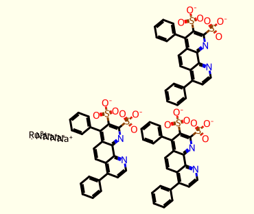 O=S(=O)([O-])c1nc2c(ccc3c(-c4ccccc4)ccnc32)c(-c2ccccc2)c1S(=O)(=O)[O-].O=S(=O)([O-])c1nc2c(ccc3c(-c4ccccc4)ccnc32)c(-c2ccccc2)c1S(=O)(=O)[O-].O=S(=O)([O-])c1nc2c(ccc3c(-c4ccccc4)ccnc32)c(-c2ccccc2)c1S(=O)(=O)[O-].[Na+].[Na+].[Na+].[Na+].[Ru+3]